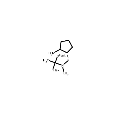 CCCCCCC(C)(CCCCC)N(C)C[C@H]1CCCC1N